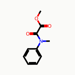 COC(=O)C(=O)N(C)c1ccccc1